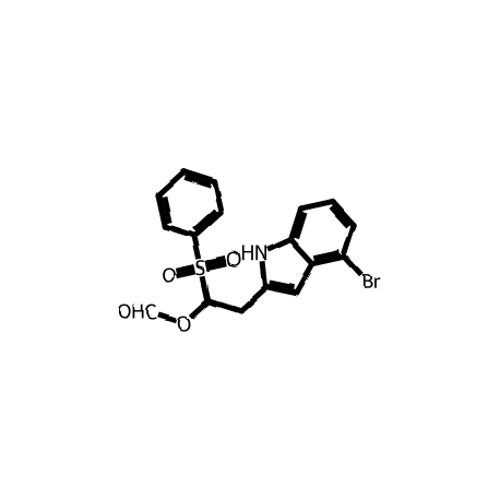 O=COC(Cc1cc2c(Br)cccc2[nH]1)S(=O)(=O)c1ccccc1